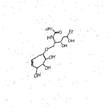 CCCC(=O)NC(COC1CC=CC(O)C(O)C1O)C(O)CC(O)CC